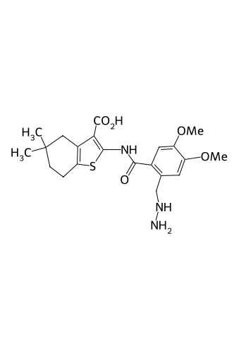 COc1cc(CNN)c(C(=O)Nc2sc3c(c2C(=O)O)CC(C)(C)CC3)cc1OC